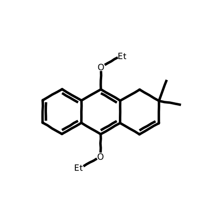 CCOc1c2c(c(OCC)c3ccccc13)CC(C)(C)C=C2